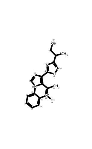 Cc1c2c(-c3nc(C(C)CO)no3)ncn2c2ccccc2[n+]1[O-]